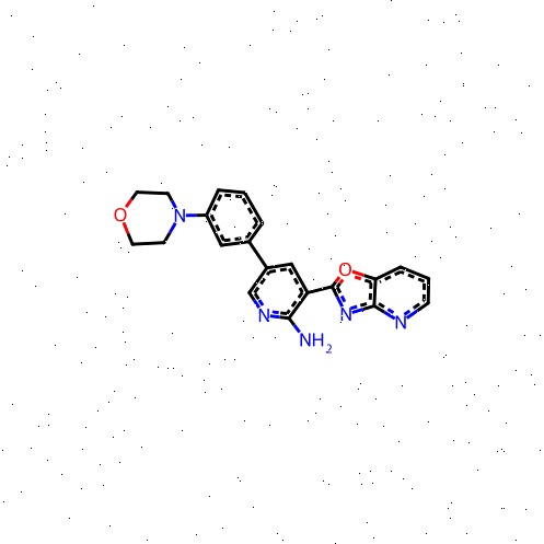 Nc1ncc(-c2cccc(N3CCOCC3)c2)cc1-c1nc2ncccc2o1